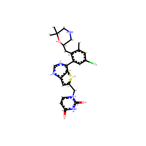 Cc1cc(Cl)cc(-c2ncnc3cc(Cn4ccc(=O)[nH]c4=O)sc23)c1CC1CNCC(C)(C)O1